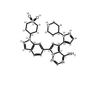 Nc1ncnn2c(-c3ccc4cnn(C5CCS(=O)(=O)CC5)c4c3)cc(-c3ccnn3C3CCOCC3)c12